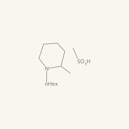 CCCCCCN1CCCCC1C.CS(=O)(=O)O